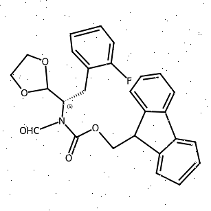 O=CN(C(=O)OCC1c2ccccc2-c2ccccc21)[C@@H](Cc1ccccc1F)C1OCCO1